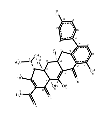 CN(C)[C@H]1C(O)=C(C(N)=O)C(=O)[C@]2(O)C(O)=C3C(=O)c4c(O)ccc(-c5ccc(Cl)cc5)c4C[C@@H]3C[C@H]12